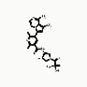 Cc1nc(C)c(-c2cc(C(F)(F)F)c3c(N)ncnn23)cc1C(=O)N[C@@H]1CN(C(=O)[C@@](C)(O)C(F)(F)F)C[C@@H]1F